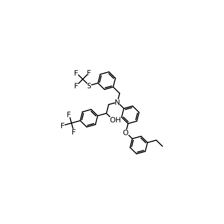 CCc1cccc(Oc2cccc(N(Cc3cccc(SC(F)(F)F)c3)CC(O)c3ccc(C(F)(F)F)cc3)c2)c1